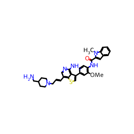 COc1cc(-c2csc3c(C=CCN4CCC(CN)CC4)cnc(N)c23)ccc1NC(=O)c1cc2ccccc2n1C